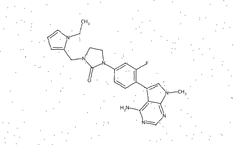 CCn1cccc1CN1CCN(c2ccc(-c3cn(C)c4ncnc(N)c34)c(F)c2)C1=O